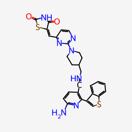 Nc1ccc(CNCC2CCN(c3nccc(C=C4SC(=O)NC4=O)n3)CC2)c(-c2csc3ccccc23)n1